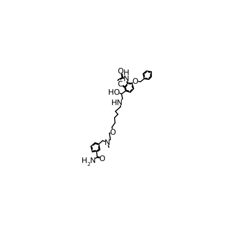 CN(CCOCCCCCCNCC(O)c1ccc(OCc2ccccc2)c2[nH]c(=O)ccc12)Cc1cccc(C(N)=O)c1